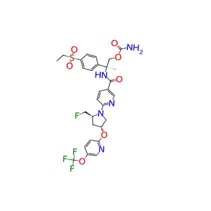 CCS(=O)(=O)c1ccc([C@@](C)(COC(N)=O)NC(=O)c2ccc(N3C[C@@H](Oc4ccc(OC(F)(F)F)cn4)C[C@H]3CF)nc2)cc1